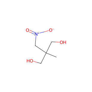 CC(CO)(CO)C[N+](=O)[O-]